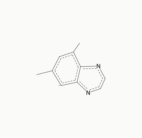 Cc1[c]c2nccnc2c(C)c1